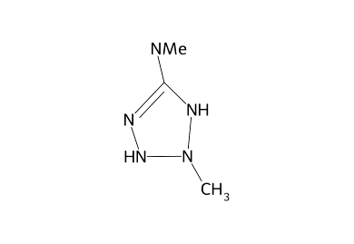 CNC1=NNN(C)N1